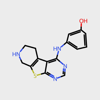 Oc1cccc(Nc2ncnc3sc4c(c23)CCNC4)c1